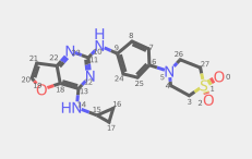 O=S1(=O)CCN(c2ccc(Nc3nc(NC4CC4)c4occc4n3)cc2)CC1